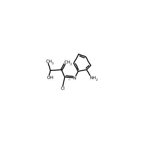 C=C(/C(Cl)=N\c1ccccc1N)C(C)O